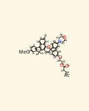 COc1ccc2c(c1)C(C)(C)c1c3c(c4cc(C)ccc4c1-2)OC(c1ccc(OCCOC(=O)CCC(C)=O)cc1)(c1ccc(N2CCOCC2)cc1)C=C3